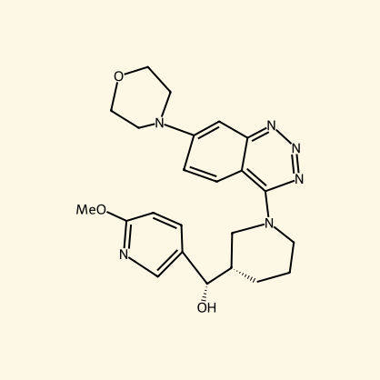 COc1ccc([C@@H](O)[C@H]2CCCN(c3nnnc4cc(N5CCOCC5)ccc34)C2)cn1